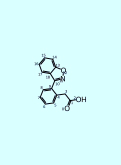 O=C(O)Cc1ccccc1-c1noc2ccccc12